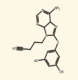 C#CCCCN1C(Sc2cc(C#N)cc(C#N)c2)=NC2C(N)=NC=NC21